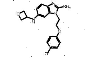 Nc1nc2ccc(NC3COC3)cc2n1CCOc1ccc(Cl)cc1